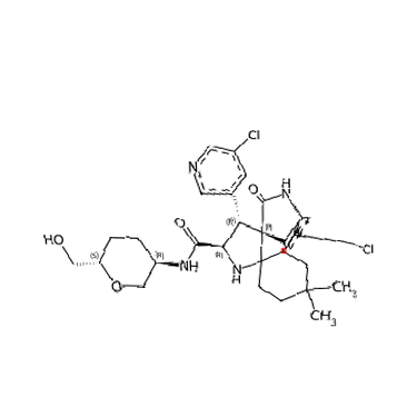 CC1(C)CCC2(CC1)N[C@@H](C(=O)N[C@@H]1CC[C@@H](CO)OC1)[C@H](c1cncc(Cl)c1)[C@]21C(=O)Nc2cc(Cl)ccc21